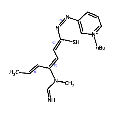 C/C=C/C(=C\C=C(S)\N=N/c1ccc[n+](CCCC)c1)N(C)C=N